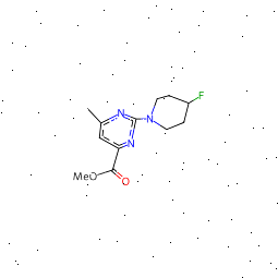 COC(=O)c1cc(C)nc(N2CCC(F)CC2)n1